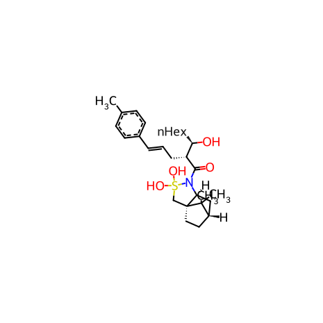 CCCCCC[C@@H](O)[C@@H](C/C=C/c1ccc(C)cc1)C(=O)N1[C@H]2C[C@@H]3CC[C@@]2(CS1(O)O)C3(C)C